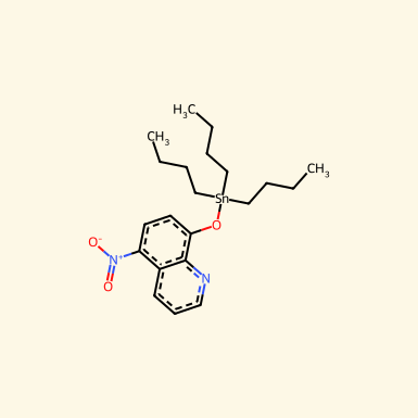 CCC[CH2][Sn]([CH2]CCC)([CH2]CCC)[O]c1ccc([N+](=O)[O-])c2cccnc12